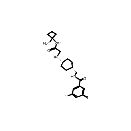 CC1(NC(=O)CN[C@H]2CC[C@@H](CNC(=O)c3cc(F)cc(I)c3)CC2)CCC1